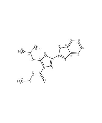 CCOC(=O)c1nc(-c2cc3ccccc3s2)oc1CC(C)C